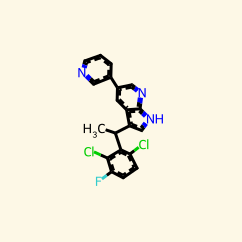 CC(c1c(Cl)ccc(F)c1Cl)c1c[nH]c2ncc(-c3cccnc3)cc12